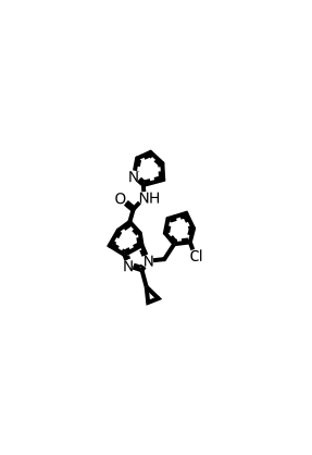 O=C(Nc1ccccn1)c1ccc2nc(C3CC3)n(Cc3ccccc3Cl)c2c1